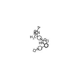 CC1(c2noc(C3CC3)n2)CCN(C(=O)Nc2c(Cl)cccc2C2=CCN(C3CCC3)CC2)CC1